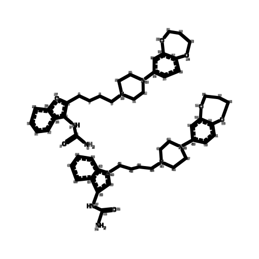 NC(=O)Nc1c(CCCCN2CCN(c3ccc4c(c3)OCCCO4)CC2)oc2ccccc12.NC(=O)Nc1cn(CCCCN2CCN(c3ccc4c(c3)OCCCO4)CC2)c2ccccc12